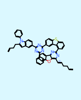 C=CCC/C=C/c1nc(-c2cccc3sc4ccc(-c5nc(-c6ccccc6)nc(-c6ccc7c(c6)cc(CCC=C)n7-c6ccccc6)n5)cc4c23)nc2c1oc1ccccc12